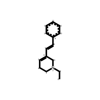 CCN1CCC=C(C=Cc2ccccc2)C1